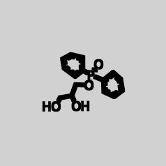 O=P(OCC(O)CO)(c1ccccc1)c1ccccc1